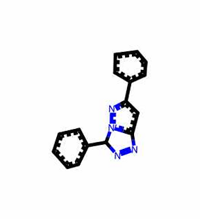 c1ccc(-c2cc3n(n2)C(c2ccccc2)N=N3)cc1